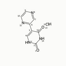 Cl.O=c1[nH]cc(-c2cnccn2)c(=O)[nH]1